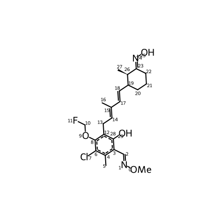 CO/N=C/c1c(C)c(Cl)c(OCF)c(C/C=C(C)/C=C/C2CCC/C(=N\O)[C@@H]2C)c1O